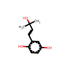 CC(C)(O)/C=C/c1cc(O)ccc1O